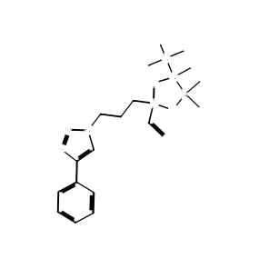 C=C[Si]1(CCCn2cc(-c3ccccc3)nn2)O[Si](C)(C)[Si](C)([Si](C)(C)O)O1